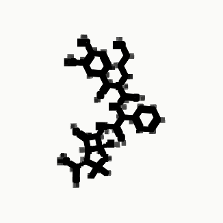 CC1(C)S[C@@H]2[C@H](NC(=O)C(NC(=O)N(CCCO)C(=O)c3ccc(O)c(O)c3)c3ccccc3)C(=O)N2[C@H]1C(=O)O